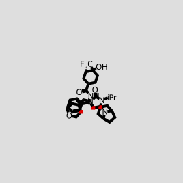 CC(C)N1C(=O)N(CC2CCOCC2)CC12CC1CCC(C2)N1CC[C@H](NC(=O)C1CCC(O)(C(F)(F)F)CC1)c1ccccc1